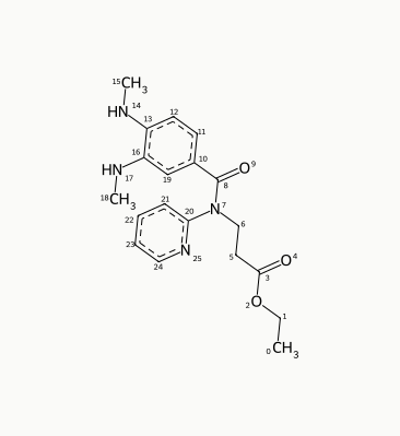 CCOC(=O)CCN(C(=O)c1ccc(NC)c(NC)c1)c1ccccn1